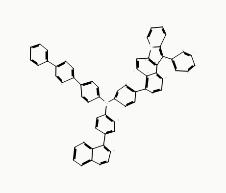 c1ccc(-c2ccc(-c3ccc(N(c4ccc(-c5cccc6ccccc56)cc4)c4ccc(-c5cccc6c5ccc5c6c(-c6ccccc6)c6ccccn65)cc4)cc3)cc2)cc1